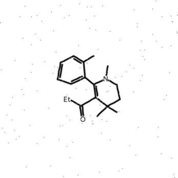 CCC(=O)C1=C(c2ccccc2C)N(C)CCC1(C)C